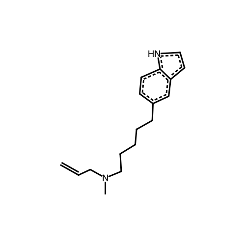 C=CCN(C)CCCCCc1ccc2[nH]ccc2c1